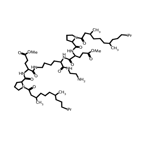 COC(=O)CCC(NC(=O)C1CCCN1C(=O)CC(C)CCCC(C)CCCC(C)C)C(=O)NCCCCC(NC(=O)C(CCC(=O)OC)NC(=O)C1CCCN1C(=O)CC(C)CCCC(C)CCCC(C)C)C(=O)NCCN